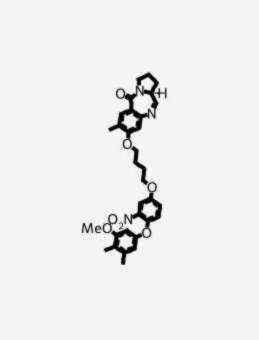 COc1cc(Oc2ccc(OCCCCOc3cc4c(cc3C)C(=O)N3CCC[C@H]3C=N4)cc2[N+](=O)[O-])cc(C)c1C